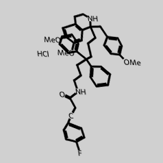 COc1ccc(CC2(CCCC(CCCNC(=O)CCc3ccc(F)cc3)(c3ccccc3)c3ccccc3)NCCc3cc(OC)c(OC)cc32)cc1.Cl